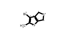 Cc1sc2c(c1Br)CSC2